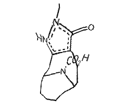 Cn1[nH]c2c(c1=O)CC1CCC2N1C(=O)O